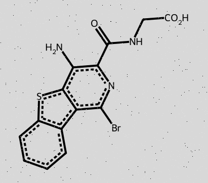 Nc1c(C(=O)NCC(=O)O)nc(Br)c2c1sc1ccccc12